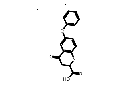 O=C1CC(C(=O)O)Sc2ccc(Oc3ccccc3)cc21